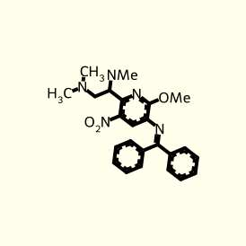 CNC(CN(C)C)c1nc(OC)c(N=C(c2ccccc2)c2ccccc2)cc1[N+](=O)[O-]